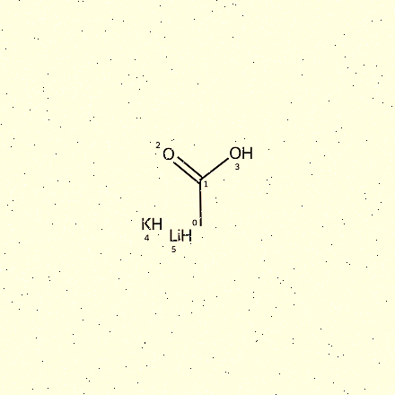 CC(=O)O.[KH].[LiH]